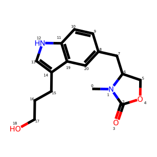 CN1C(=O)OCC1Cc1ccc2[nH]cc(CCCO)c2c1